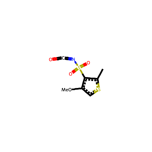 COc1csc(C)c1S(=O)(=O)N=C=O